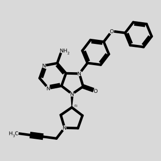 CC#CCN1CC[C@H](n2c(=O)n(-c3ccc(Oc4ccccc4)cc3)c3c(N)ncnc32)C1